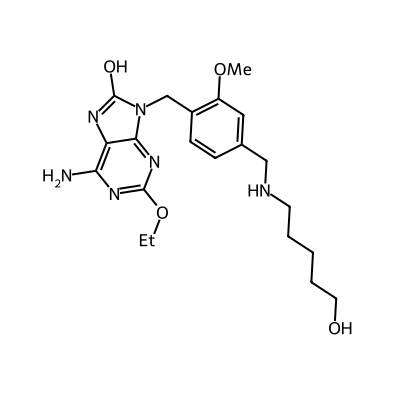 CCOc1nc(N)c2nc(O)n(Cc3ccc(CNCCCCCO)cc3OC)c2n1